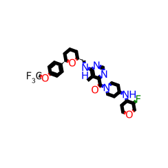 Cc1c(NC[C@H]2CCC[C@@H](c3ccc(OC(F)(F)F)cc3)O2)ncnc1C(=O)N1CCC(NC2CCOCC2F)CC1